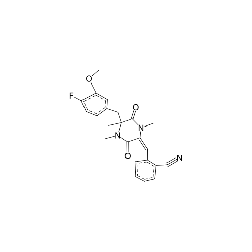 COc1cc(CC2(C)C(=O)N(C)C(=Cc3ccccc3C#N)C(=O)N2C)ccc1F